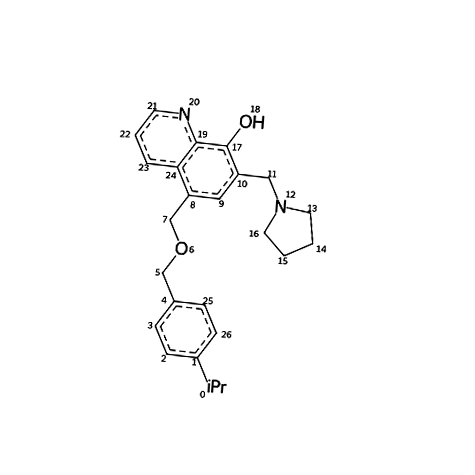 CC(C)c1ccc(COCc2cc(CN3CCCC3)c(O)c3ncccc23)cc1